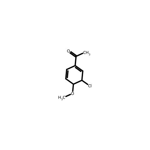 COC1C=CC(C(C)=O)=CC1Cl